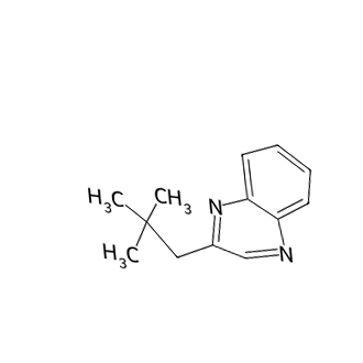 CC(C)(C)Cc1cnc2ccccc2n1